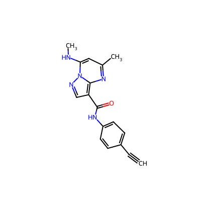 C#Cc1ccc(NC(=O)c2cnn3c(NC)cc(C)nc23)cc1